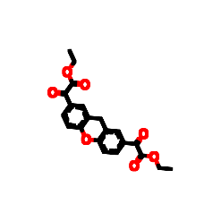 CCOC(=O)C(=O)c1ccc2c(c1)Cc1cc(C(=O)C(=O)OCC)ccc1O2